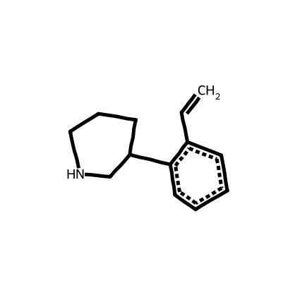 C=Cc1ccccc1C1CCCNC1